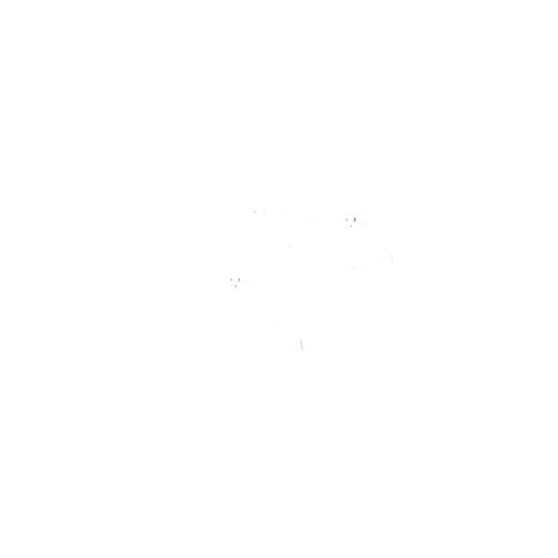 CCOC(=CC(SP(O)(O)=S)=C(OC)OCC)OC